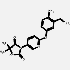 CCc1cc(Oc2ccc(N3C(=O)NC(C)(C)C3=O)cn2)ccc1N